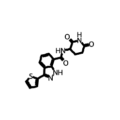 O=C1CCC(NC(=O)c2cccc3c(-c4cccs4)n[nH]c23)C(=O)N1